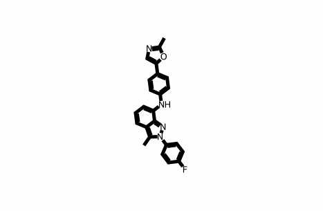 Cc1ncc(-c2ccc(Nc3cccc4c(C)n(-c5ccc(F)cc5)nc34)cc2)o1